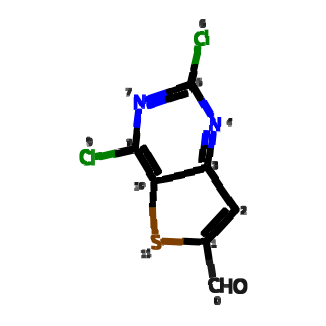 O=Cc1cc2nc(Cl)nc(Cl)c2s1